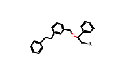 CCC(C)CC(OCc1cccc(CCc2ccccc2)c1)c1ccccc1